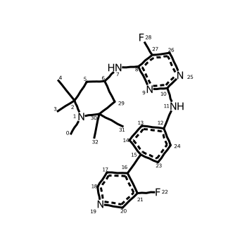 CN1C(C)(C)CC(Nc2nc(Nc3ccc(-c4ccncc4F)cc3)ncc2F)CC1(C)C